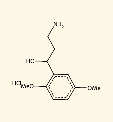 COc1ccc(OC)c(C(O)CCN)c1.Cl